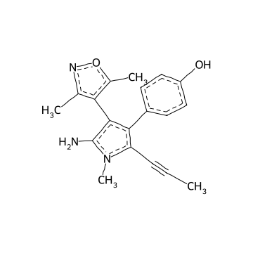 CC#Cc1c(-c2ccc(O)cc2)c(-c2c(C)noc2C)c(N)n1C